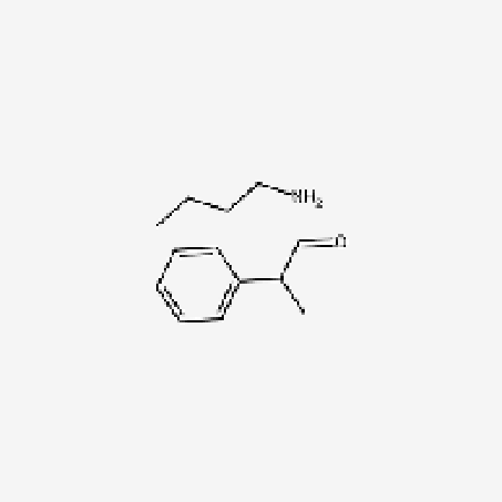 CC(C=O)c1ccccc1.CCCCN